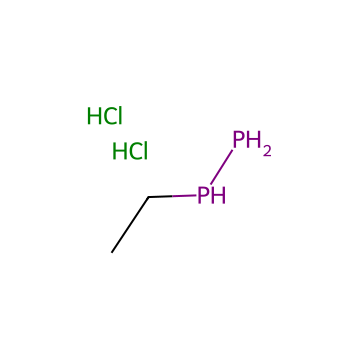 CCPP.Cl.Cl